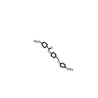 COc1ccc(OCc2ccc(OC(=O)c3ccc(OC)cc3)cc2)cc1